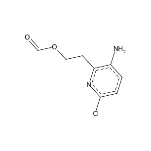 Nc1ccc(Cl)nc1CCOC=O